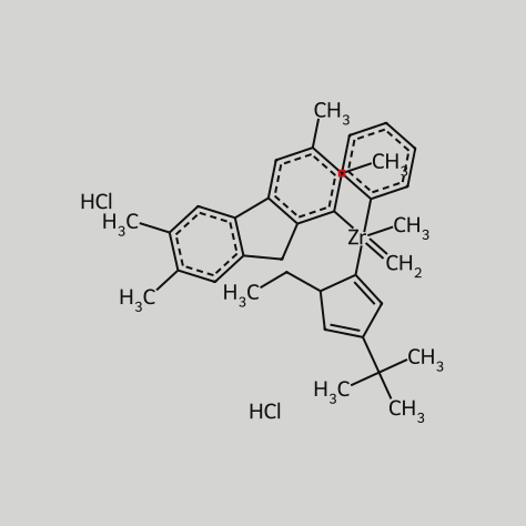 Cl.Cl.[CH2]=[Zr]([CH3])([C]1=CC(C(C)(C)C)=CC1CC)([c]1ccccc1)[c]1c(C)c(C)cc2c1Cc1cc(C)c(C)cc1-2